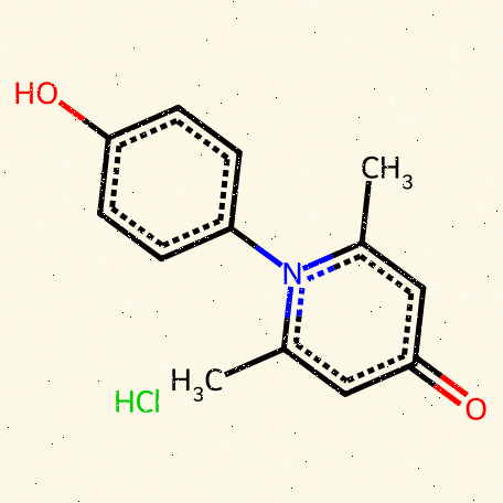 Cc1cc(=O)cc(C)n1-c1ccc(O)cc1.Cl